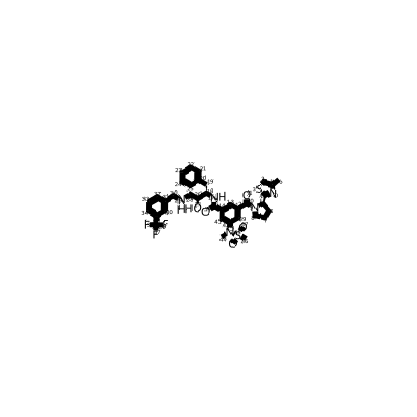 Cc1csc([C@H]2CCCN2C(=O)c2cc(C(=O)N[C@@H](Cc3ccccc3)[C@@H](O)CNCc3cccc(C(F)(F)F)c3)cc(N(C)S(C)(=O)=O)c2)n1